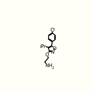 CC(C)c1c(OCCN)noc1-c1ccc(Cl)cc1